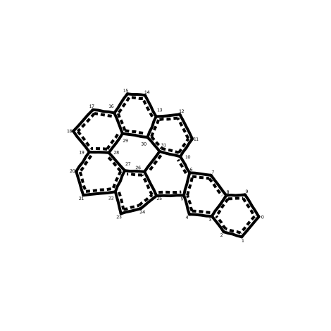 c1ccc2cc3c(cc2c1)c1ccc2ccc4ccc5ccc6ccc3c3c6c5c4c2c13